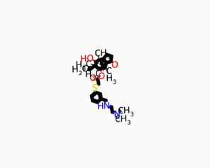 C=C[C@]1(C)C[C@@H](OC(=O)CSc2cccc(CNCCN(C)C)c2)[C@]2(C)C(C)CCC3(CCC(=O)C32)[C@@H](C)[C@@H]1O